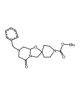 CC(C)(C)OC(=O)N1CCC2(CC1)CN1C(=O)CN(Cc3ccccc3)CC1O2